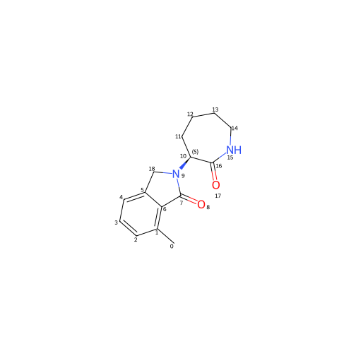 Cc1cccc2c1C(=O)N([C@H]1CCCCNC1=O)C2